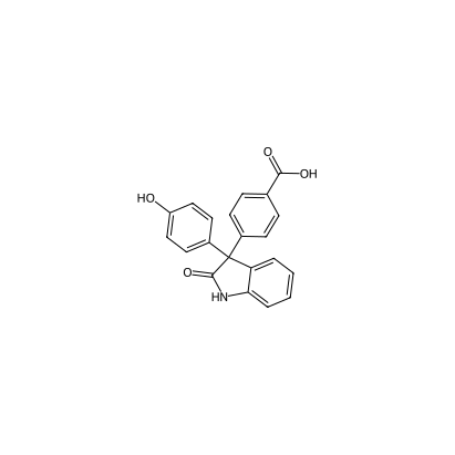 O=C(O)c1ccc(C2(c3ccc(O)cc3)C(=O)Nc3ccccc32)cc1